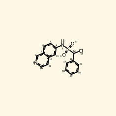 O=S(=O)(Nc1ccc2cnccc2c1)C(Cl)c1ccccc1